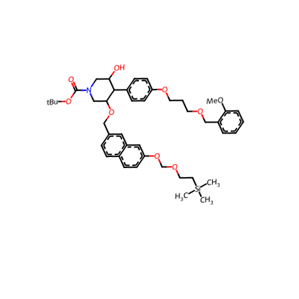 COc1ccccc1COCCCOc1ccc(C2C(O)CN(C(=O)OC(C)(C)C)CC2OCc2ccc3ccc(OCOCC[Si](C)(C)C)cc3c2)cc1